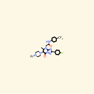 CC(=O)N1CCN(c2c(C)n(CC(=O)Nc3ccc(C(F)(F)F)cc3)c3nc(-c4ccc(F)cc4)nn3c2=O)CC1